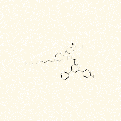 O=C(O)CCCCN1CCN(C(=O)[C@H](CP(=O)(O)O)NC(=O)c2cc(-c3ccccc3)cc(-c3ccc(F)cc3)n2)CC1